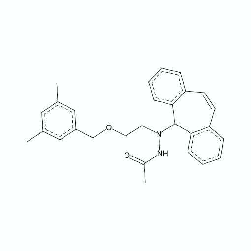 CC(=O)NN(CCOCc1cc(C)cc(C)c1)C1c2ccccc2C=Cc2ccccc21